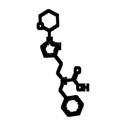 O=C(O)N(CCc1ccn(C2CCCCO2)n1)Cc1ccccc1